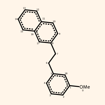 COc1cccc(C[CH]c2ccc3ccccc3c2)c1